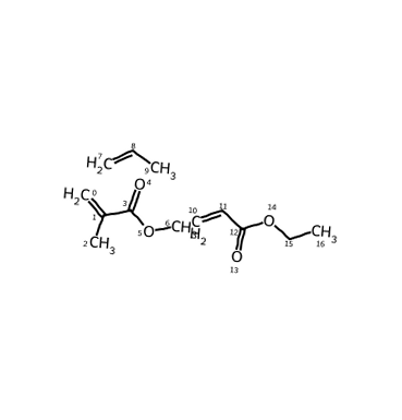 C=C(C)C(=O)OC.C=CC.C=CC(=O)OCC